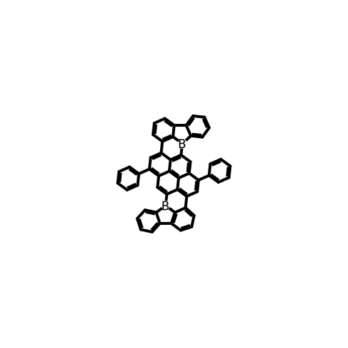 c1ccc(-c2cc3c4c(cc5c(-c6ccccc6)cc6c7c(cc2c4c57)B2c4ccccc4-c4cccc-6c42)B2c4ccccc4-c4cccc-3c42)cc1